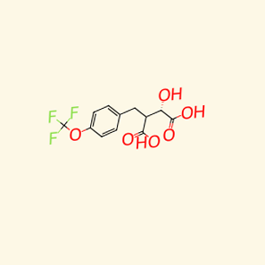 O=C(O)C(Cc1ccc(OC(F)(F)F)cc1)[C@H](O)C(=O)O